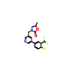 CC1CN(Cc2cncc(-c3ccc(F)c(C(F)F)c3)c2)C(=O)O1